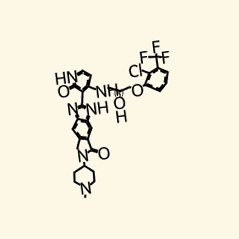 CN1CCC(N2Cc3cc4nc(-c5c(NC[C@@H](O)COc6cccc(C(F)(F)F)c6Cl)cc[nH]c5=O)[nH]c4cc3C2=O)CC1